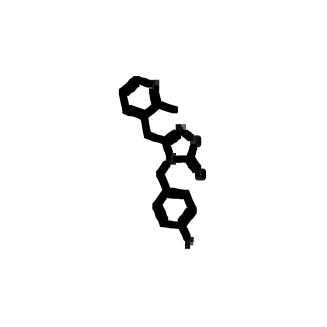 Cc1ncccc1Cc1noc(=O)n1Cc1ccc(F)cc1